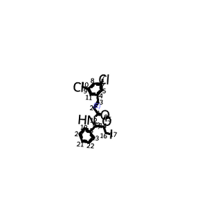 O=C(/C=C/c1cc(Cl)cc(Cl)c1)N[C@H](C(=O)CI)c1ccccc1